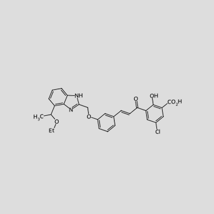 CCOC(C)c1cccc2[nH]c(COc3cccc(C=CC(=O)c4cc(Cl)cc(C(=O)O)c4O)c3)nc12